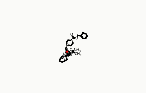 CC(C)(C)OC(=O)N1CC2CCC(C1)N2c1cccc(CN2CCN(C(=O)OCc3ccccc3)CC2)n1